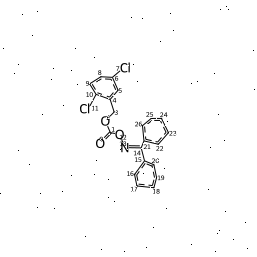 O=C(OCc1cc(Cl)ccc1Cl)ON=C(c1ccccc1)c1ccccc1